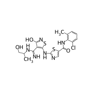 Cc1cccc(Cl)c1NC(=O)c1cnc(Nc2snc(O)c2C(=N)NC(C)CO)s1